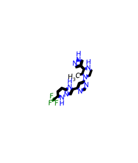 CC1C(c2cn[nH]c2)NCCN1c1cc(-c2cnc(/C=C\C(=N)C(F)(F)F)[nH]2)ncn1